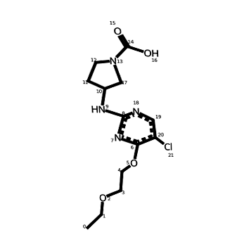 CCOCCOc1nc(NC2CCN(C(=O)O)C2)ncc1Cl